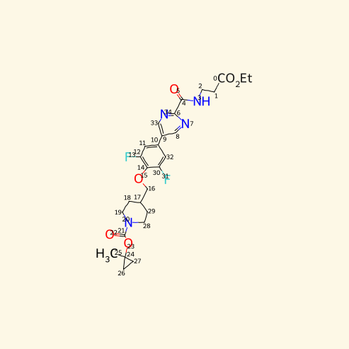 CCOC(=O)CCNC(=O)c1ncc(-c2cc(F)c(OCC3CCN(C(=O)OC4(C)CC4)CC3)c(F)c2)cn1